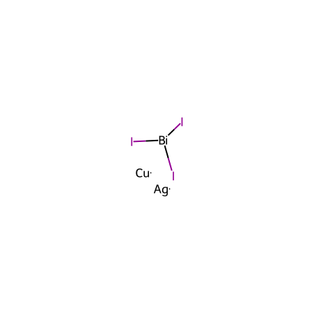 [Ag].[Cu].[I][Bi]([I])[I]